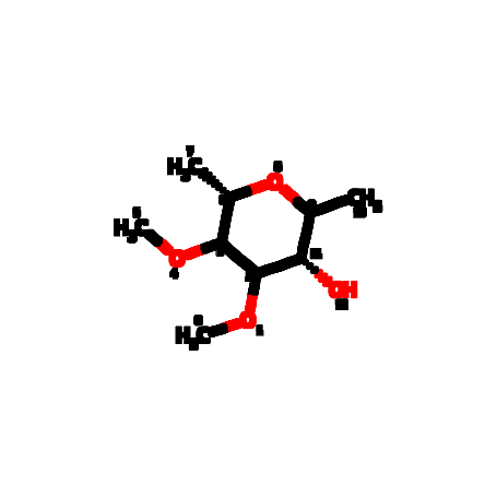 COC1C(OC)[C@H](C)OC(C)[C@@H]1O